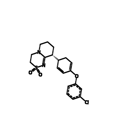 O=S1(=O)CCN2CCC[C@H](C3C=CC(Oc4cccc(Cl)c4)=CC3)C2=N1